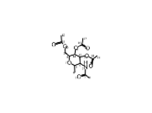 CC(=O)NC1C(C)OC(COC(C)=O)C(OC(C)=O)C1OC(C)=O